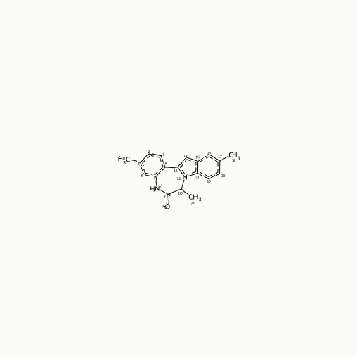 Cc1ccc2c(c1)NC(=O)C(C)n1c-2cc2cc(C)ccc21